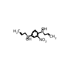 C=CCN(O)c1ccc(N(O)CC=C)c([N+](=O)[O-])c1